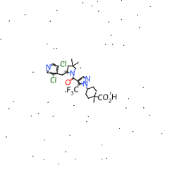 CC1(C)C[C@H](Cc2c(Cl)cncc2Cl)N(C(=O)c2cnn(C3CCC(C)(C(=O)O)CC3)c2C(F)(F)F)C1